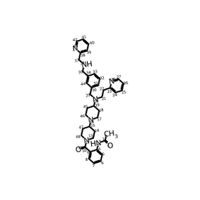 CC(=O)Nc1ccccc1C(=O)N1CCC(N2CCC(N(CCc3ccccn3)Cc3cccc(CNCc4ccccn4)c3)CC2)CC1